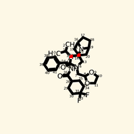 CC(C)N1C(=O)N(CC2OCCO2)CC12CC1CCC(C2)N1CC[C@H](NC(=O)C1CCC(F)(F)CC1)c1ccccc1